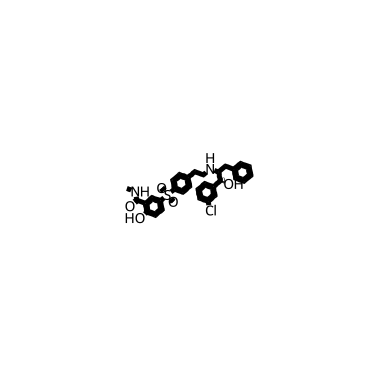 CNC(=O)c1cc(S(=O)(=O)c2ccc(CCNC(Cc3ccccc3)[C@H](O)c3cccc(Cl)c3)cc2)ccc1O